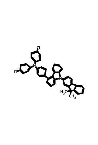 CC1(C)c2ccccc2-c2ccc(-n3c4ccccc4c4c(-c5ccc(N(c6ccc(Cl)cc6)c6ccc(Cl)cc6)cc5)cccc43)cc21